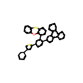 C1=CCC(c2csc(-c3ccc(-c4ccc5c6ccccc6c6ccccc6c5c4)c(-c4cccc5c4Oc4ccccc4S5)c3)c2)C=C1